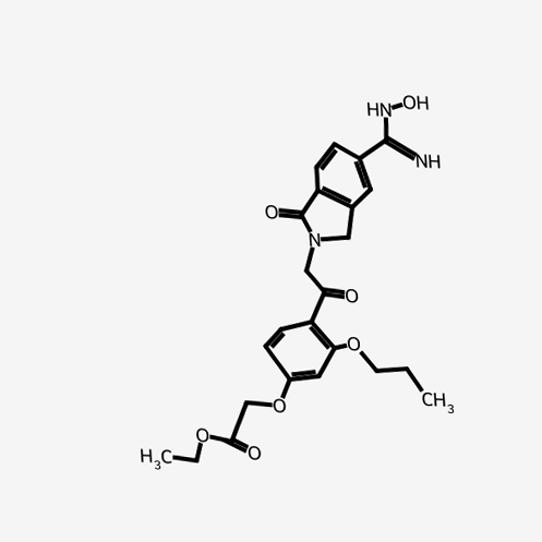 CCCOc1cc(OCC(=O)OCC)ccc1C(=O)CN1Cc2cc(C(=N)NO)ccc2C1=O